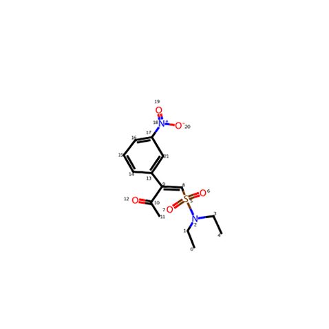 CCN(CC)S(=O)(=O)C=C(C(C)=O)c1cccc([N+](=O)[O-])c1